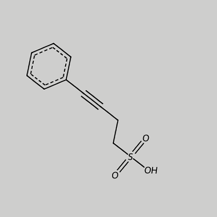 O=S(=O)(O)CCC#Cc1ccccc1